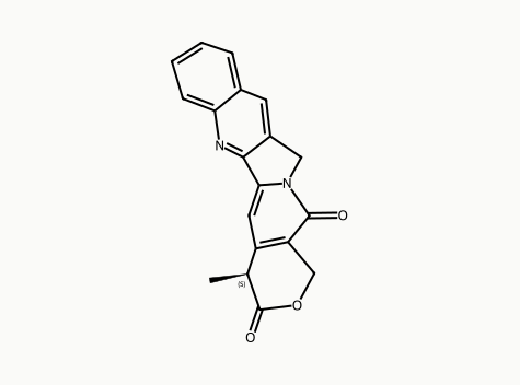 C[C@@H]1C(=O)OCc2c1cc1n(c2=O)Cc2cc3ccccc3nc2-1